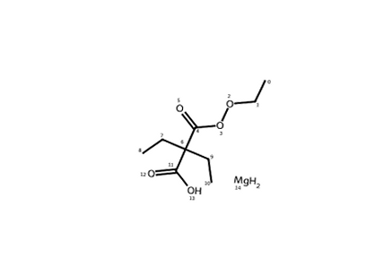 CCOOC(=O)C(CC)(CC)C(=O)O.[MgH2]